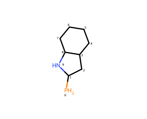 PC1CC2CCCCC2N1